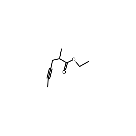 CC#CCC(C)C(=O)OCC